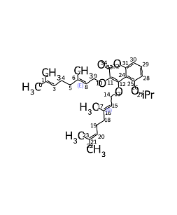 CC(C)=CCC/C(C)=C/COc1c(OC/C=C(\C)CCC=C(C)C)c2c(OC(C)C)cccc2oc1=O